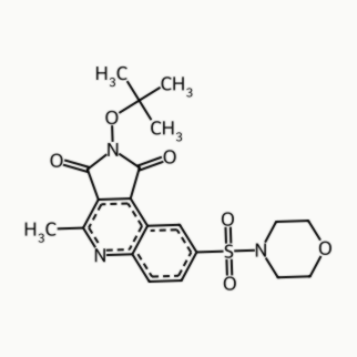 Cc1nc2ccc(S(=O)(=O)N3CCOCC3)cc2c2c1C(=O)N(OC(C)(C)C)C2=O